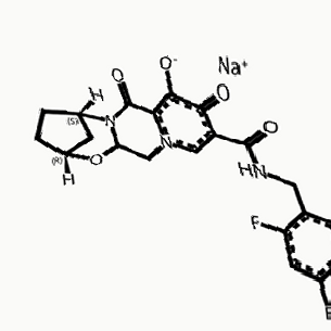 O=C(NCc1c(F)cc(F)cc1F)c1cn2c(c([O-])c1=O)C(=O)N1C(C2)O[C@@H]2CC[C@H]1C2.[Na+]